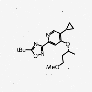 COCCC(C)Oc1cc(-c2noc(C(C)(C)C)n2)ncc1C1CC1